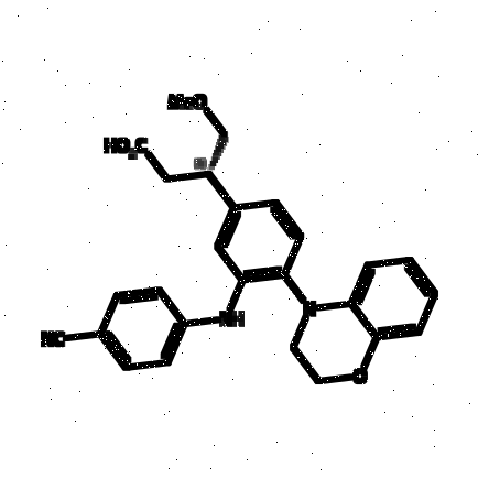 COC[C@@H](CC(=O)O)c1ccc(N2CCOc3ccccc32)c(Nc2ccc(C#N)cc2)c1